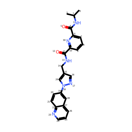 CC(C)NC(=O)c1cccc(C(=O)NCc2cnn(-c3ccc4ncccc4c3)c2)n1